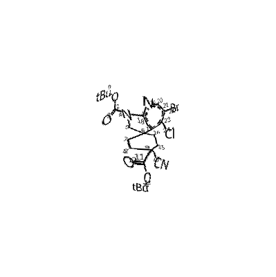 CC(C)(C)OC(=O)N1CC2(CCC(C#N)(C(=O)OC(C)(C)C)CC2)c2c1ncc(Br)c2Cl